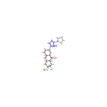 O=c1c2cc(-c3ncc(C4CCCC4)[nH]3)ccc2oc2cc(Br)c(F)cc12